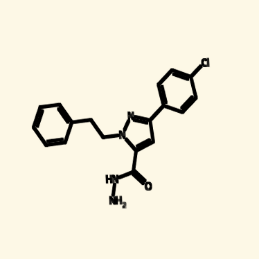 NNC(=O)c1cc(-c2ccc(Cl)cc2)nn1CCc1ccccc1